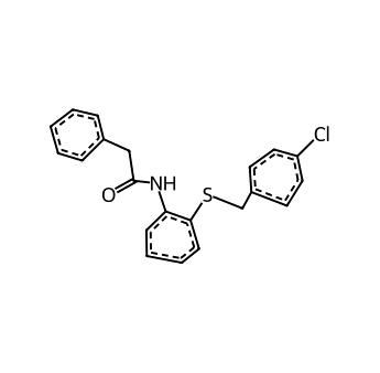 O=C(Cc1ccccc1)Nc1ccccc1SCc1ccc(Cl)cc1